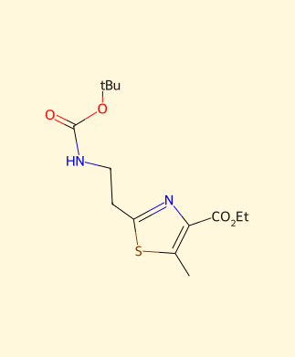 CCOC(=O)c1nc(CCNC(=O)OC(C)(C)C)sc1C